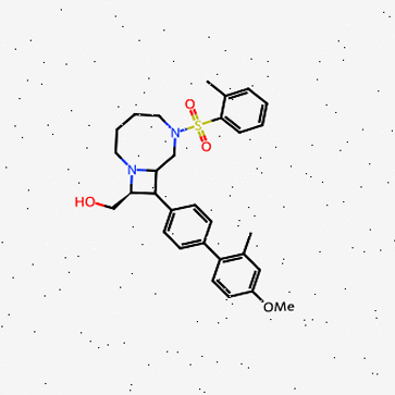 COc1ccc(-c2ccc(C3C4CN(S(=O)(=O)c5ccccc5C)CCCCN4[C@@H]3CO)cc2)c(C)c1